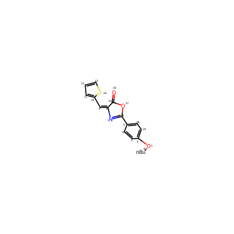 CCCCOc1ccc(C2=NC(=Cc3cccs3)C(=O)O2)cc1